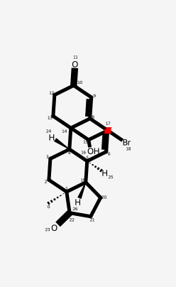 C[C@]12CC[C@H]3[C@@H](C=CC4=CC(=O)CCC43C(O)CBr)[C@@H]1CCC2=O